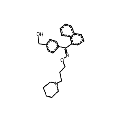 OCc1ccc(/C(=N\OCCCN2CCCCC2)c2cccc3ccccc23)cc1